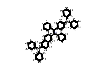 c1ccc(/C(=C(/c2ccccc2)c2ccc3cc(N(c4ccccc4)c4ccccc4)ccc3c2)c2ccc(N(c3ccccc3)c3ccccc3)cc2)cc1